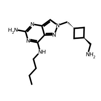 CCCCNc1nc(N)nc2cn(C[C@H]3C[C@H](CN)C3)nc12